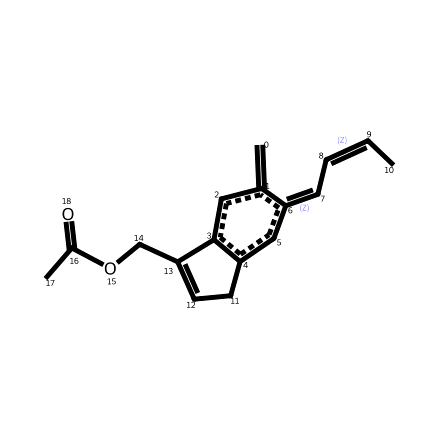 C=c1cc2c(c/c1=C/C=C\C)CC=C2COC(C)=O